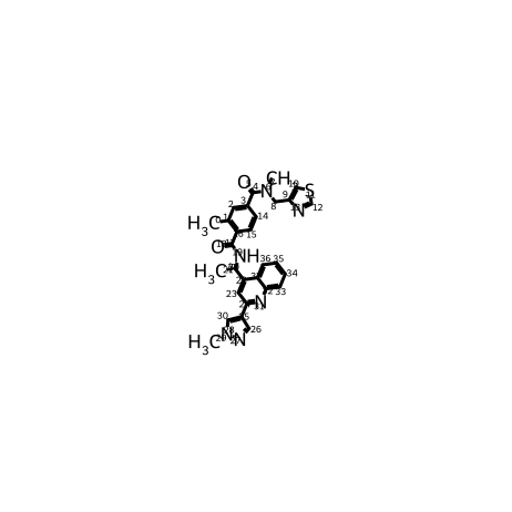 Cc1cc(C(=O)N(C)Cc2cscn2)ccc1C(=O)N[C@H](C)c1cc(-c2cnn(C)c2)nc2ccccc12